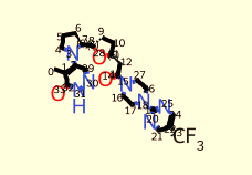 Cc1c(N2CCC[C@H]2[C@@H]2CC[C@@H](CC(=O)N3CCN(c4ncc(C(F)(F)F)cn4)CC3)O2)cn[nH]c1=O